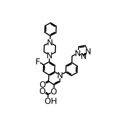 O=C(O)Oc1cn(-c2cccc(Cn3ccnn3)c2)c2cc(N3CCN(c4ccccc4)CC3)c(F)cc2c1=O